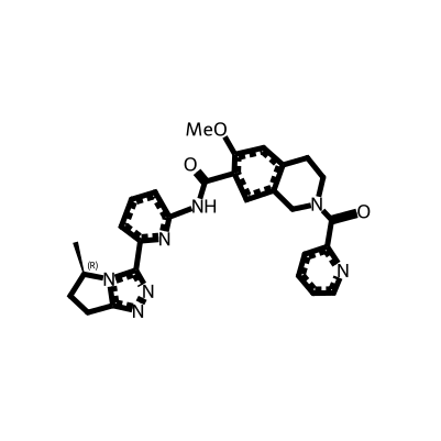 COc1cc2c(cc1C(=O)Nc1cccc(-c3nnc4n3[C@H](C)CC4)n1)CN(C(=O)c1ccccn1)CC2